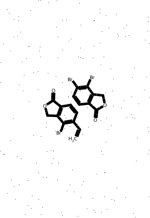 C=Cc1ccc2c(c1Br)COC2=O.O=C1OCc2c1ccc(Br)c2Br